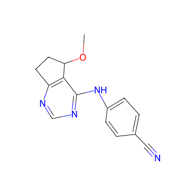 COC1CCc2ncnc(Nc3ccc(C#N)cc3)c21